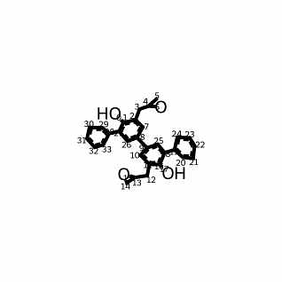 Oc1c(CC2CO2)cc(-c2cc(CC3CO3)c(O)c(-c3ccccc3)c2)cc1-c1ccccc1